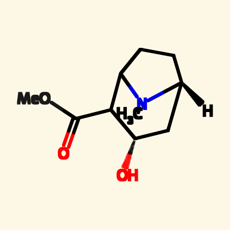 COC(=O)C1C2CC[C@H](C[C@@H]1O)N2C